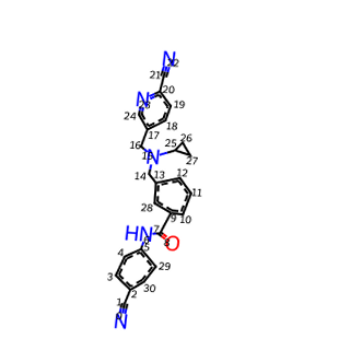 N#Cc1ccc(NC(=O)c2cccc(CN(Cc3ccc(C#N)nc3)C3CC3)c2)cc1